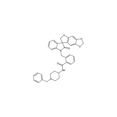 O=C(NC1CCN(Cc2ccccc2)CC1)c1ccccc1CN1C(=O)C2(COc3cc4c(cc32)OCO4)c2ccccc21